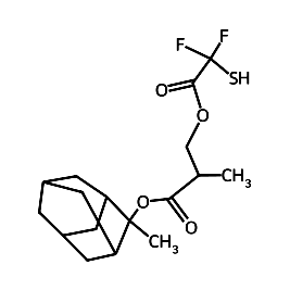 CC(COC(=O)C(F)(F)S)C(=O)OC1(C)C2CC3CC(C2)CC1C3